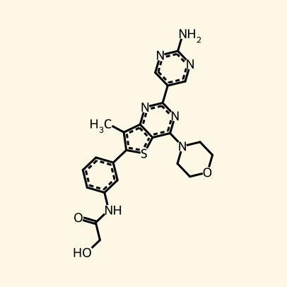 Cc1c(-c2cccc(NC(=O)CO)c2)sc2c(N3CCOCC3)nc(-c3cnc(N)nc3)nc12